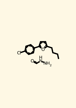 CCCCc1ccc(-c2ccc(Cl)cc2)o1.NNC=O